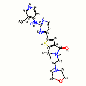 CC1(C)c2sc(-c3ccnc(Nc4ccncc4C#N)n3)cc2C(=O)N1CCN1CCOCC1